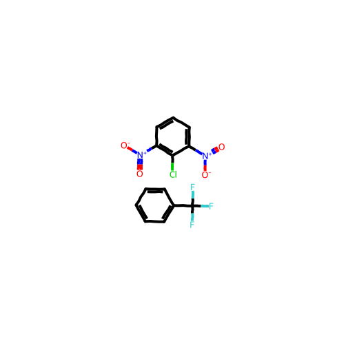 FC(F)(F)c1ccccc1.O=[N+]([O-])c1cccc([N+](=O)[O-])c1Cl